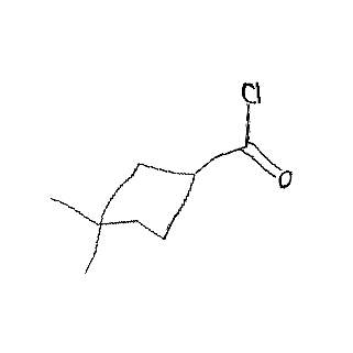 CC1(C)CC(C(=O)Cl)C1